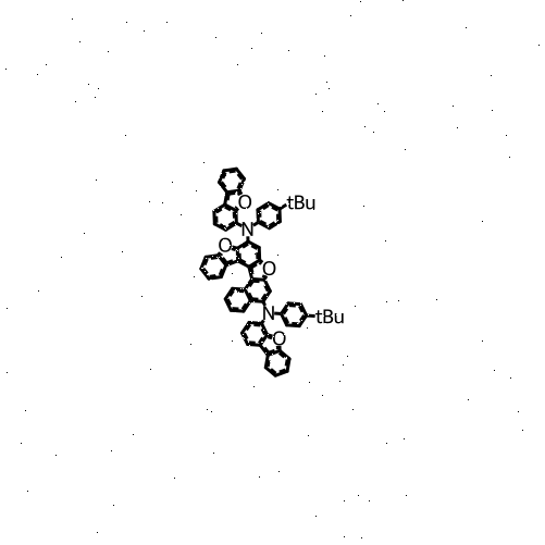 CC(C)(C)c1ccc(N(c2cc3oc4cc(N(c5ccc(C(C)(C)C)cc5)c5cccc6c5oc5ccccc56)c5oc6ccccc6c5c4c3c3ccccc23)c2cccc3c2oc2ccccc23)cc1